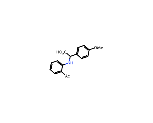 COc1ccc(C(Nc2ccccc2C(C)=O)C(=O)O)cc1